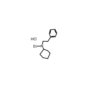 CCN(CCc1ccccc1)C1CCCCC1.Cl